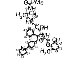 COC(=O)NCC(C)(C)CC(=O)NCCC(O)C(NC(=O)COc1c(C)cccc1C)C(Cc1ccc(-c2ccccn2)cc1)c1ccccc1